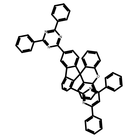 c1ccc(-c2cc(-c3ccccc3)nc(-c3cccc4c3C3(c5ccccc5Oc5ccccc53)c3ccc(-c5nc(-c6ccccc6)nc(-c6ccccc6)n5)cc3-4)n2)cc1